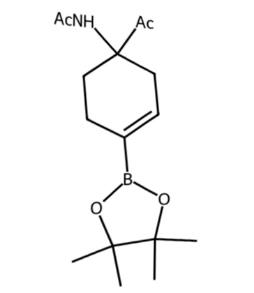 CC(=O)NC1(C(C)=O)CC=C(B2OC(C)(C)C(C)(C)O2)CC1